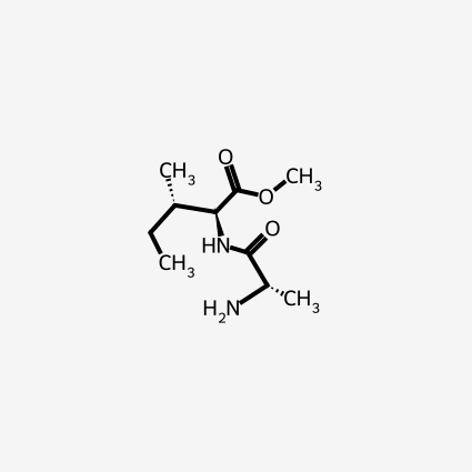 CC[C@H](C)[C@H](NC(=O)[C@H](C)N)C(=O)OC